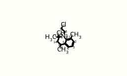 Cc1cccc2c1N(CCCl)C(C)(C)CC2C